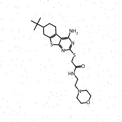 CC(C)(C)C1CCc2c(sc3nc(SCC(=O)NCCN4CCOCC4)nc(N)c23)C1